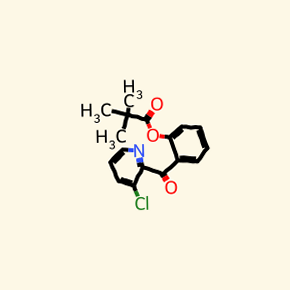 CC(C)(C)C(=O)Oc1ccccc1C(=O)c1ncccc1Cl